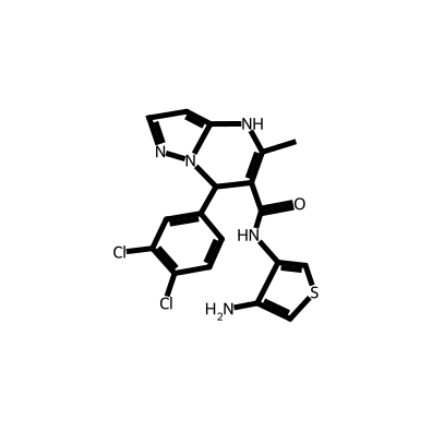 CC1=C(C(=O)Nc2cscc2N)C(c2ccc(Cl)c(Cl)c2)n2nccc2N1